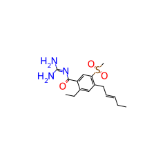 CCC=CCc1cc(CC)c(C(=O)N=C(N)N)cc1S(C)(=O)=O